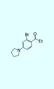 CCC(=O)c1ccc(N2CCCC2)cc1Br